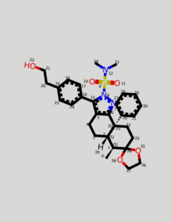 C[C@H]1[C@@H]2CCc3c(nn(S(=O)(=O)N(C)C)c3-c3ccc(CCO)cc3)[C@@]2(c2ccccc2)CCC12OCCO2